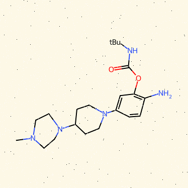 CN1CCN(C2CCN(c3ccc(N)c(OC(=O)NC(C)(C)C)c3)CC2)CC1